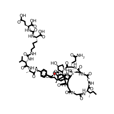 CC[C@H](C)[C@@H]1NC(=O)CNC(=O)C2Cc3c([nH]c4cc(OCc5ccc(N(C)C(=O)[C@H](C)NC(=O)[C@@H](NC(=O)NCCCC[C@H](NC(=O)N[C@@H](CCC(=O)O)C(=O)O)C(=O)O)C(C)C)cc5)ccc34)[S+]([O-])CC(NC(=O)CNC1=O)C(=O)N[C@@H](CCC(N)=O)C(=O)N1C[C@H](O)C[C@]1(C=O)N[C@@H]([C@@H](C)[C@@H](O)CO)C(=O)N2